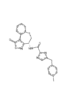 Cc1ccc(Cn2cnc(C(=O)N[C@H]3CSc4ccccc4-n4c3noc4=O)n2)cc1